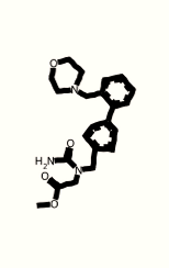 COC(=O)CN(Cc1ccc(-c2ccccc2CN2CCOCC2)cc1)C(N)=O